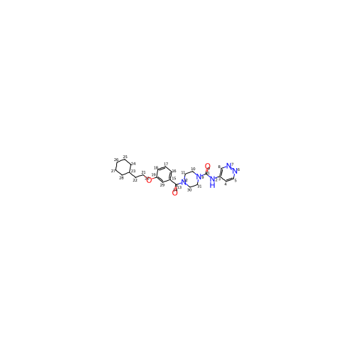 O=C(Nc1ccnnc1)N1CCN(C(=O)c2cccc(OCCC3CCCCC3)c2)CC1